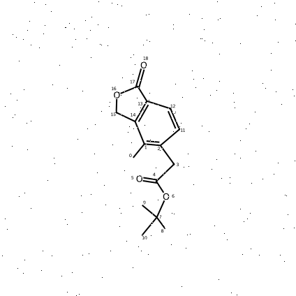 Cc1c(CC(=O)OC(C)(C)C)ccc2c1COC2=O